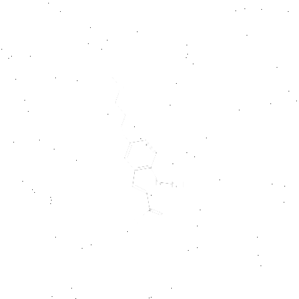 COCCOc1ccc2c(c1)cc(C(=O)O)n2N